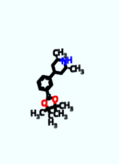 C[C@@H]1CC(c2cccc(B3OC(C)(C)C(C)(C)O3)c2)C[C@H](C)N1